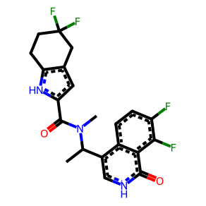 CC(c1c[nH]c(=O)c2c(F)c(F)ccc12)N(C)C(=O)c1cc2c([nH]1)CCC(F)(F)C2